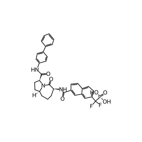 O=C(N[C@H]1CCC[C@H]2CC[C@@H](C(=O)Nc3ccc(-c4ccccc4)cc3)N2C1=O)c1ccc2ccc(C(F)(F)P(=O)(O)O)cc2c1